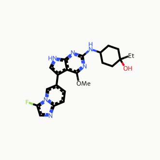 CCC1(O)CCC(Nc2nc(OC)c3c(-c4ccc5ncc(F)n5c4)c[nH]c3n2)CC1